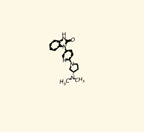 CN(C)[C@H]1CCN(c2ccc(-n3c(=O)[nH]c4ccccc43)cn2)C1